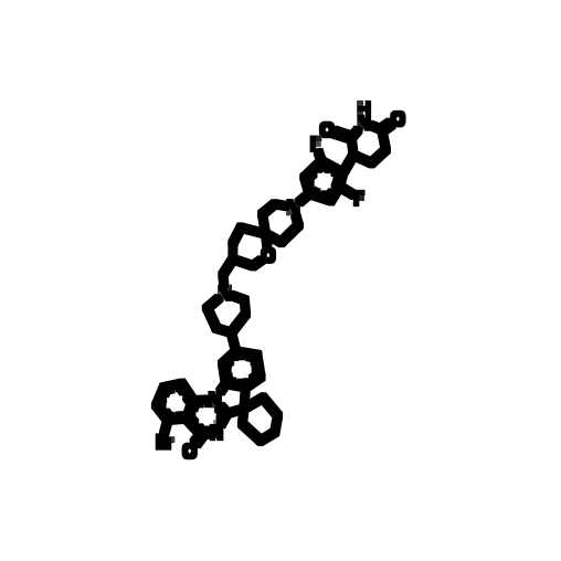 O=C1CCC(c2c(F)cc(N3CCC4(CCC(CN5CCC(c6ccc7c(c6)-n6c(nc(=O)c8c(Br)cccc86)C76CCCCC6)CC5)CO4)CC3)cc2F)C(=O)N1